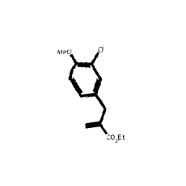 C=C(Cc1ccc(OC)c(Cl)c1)C(=O)OCC